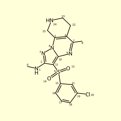 CNc1nn2c3c(c(C)nc2c1S(=O)(=O)c1cccc(Cl)c1)CCNC3